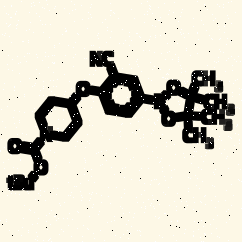 CC(C)(C)OC(=O)N1CCC(Oc2ccc(B3OC(C)(C)C(C)(C)O3)cc2C#N)CC1